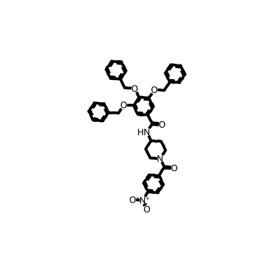 O=C(NC1CCN(C(=O)c2ccc([N+](=O)[O-])cc2)CC1)c1cc(OCc2ccccc2)c(OCc2ccccc2)c(OCc2ccccc2)c1